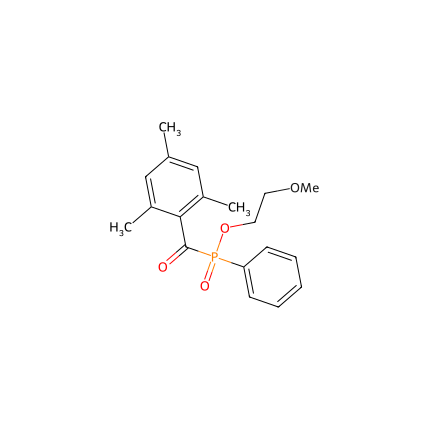 COCCOP(=O)(C(=O)c1c(C)cc(C)cc1C)c1ccccc1